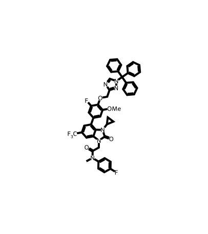 COc1cc(-c2cc(C(F)(F)F)cc3c2n(C2CC2)c(=O)n3CC(=O)N(C)c2ccc(F)cc2)cc(F)c1OCc1ncn(C(c2ccccc2)(c2ccccc2)c2ccccc2)n1